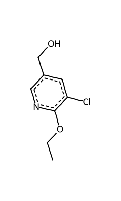 CCOc1ncc(CO)cc1Cl